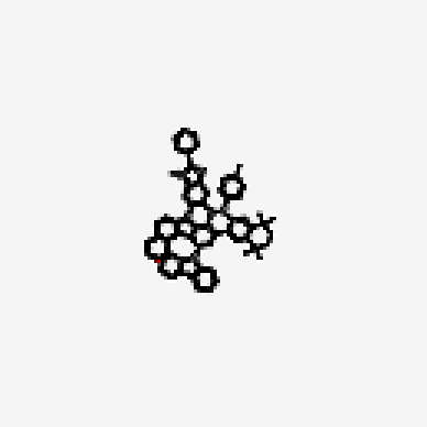 Cc1ccc(N2B3c4cc5nc(-c6ccccc6)n(C)c5cc4-n4c5ccc6ccccc6c5c5c(-n6c7ccccc7c7ccccc76)cc(c3c54)-c3cc4c(cc32)C(C)(C)CCC4(C)C)cc1